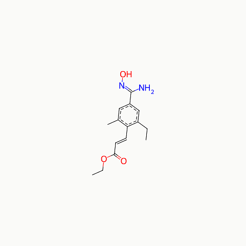 CCOC(=O)C=Cc1c(C)cc(C(N)=NO)cc1CC